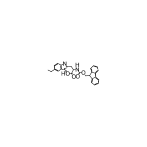 CCc1ccc2nc(CC(NC(=O)OCC3c4ccccc4-c4ccccc43)C(=O)O)sc2c1